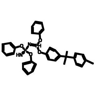 Cc1ccc(C(C)(C)c2ccc(O/[PH](=N\P(=N)(Oc3ccccc3)Oc3ccccc3)Oc3ccccc3)cc2)cc1